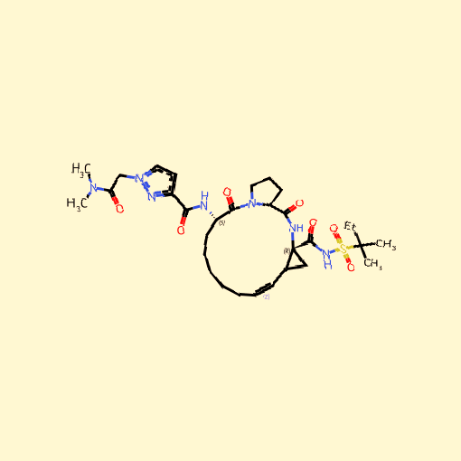 CCC(C)(C)S(=O)(=O)NC(=O)[C@@]12CC1/C=C\CCCCC[C@H](NC(=O)c1ccn(CC(=O)N(C)C)n1)C(=O)N1CCCC1C(=O)N2